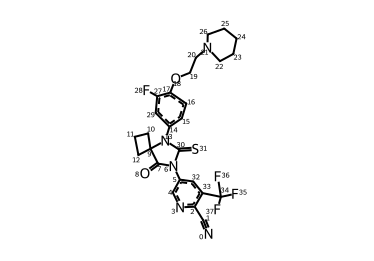 N#Cc1ncc(N2C(=O)C3(CCC3)N(c3ccc(OCCN4CCCCC4)c(F)c3)C2=S)cc1C(F)(F)F